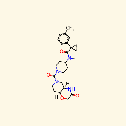 CN(C(=O)C1(c2cccc(C(F)(F)F)c2)CC1)C1CCN(C(=O)N2CC[C@@H]3OCC(=O)N[C@@H]3C2)CC1